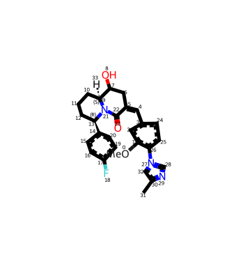 COc1cc(C=C2CC(O)[C@@H]3CCC[C@H](c4ccc(F)cc4)N3C2=O)ccc1-n1cnc(C)c1